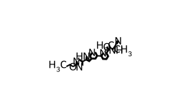 CCCOc1ncc(-c2cc3cc(-c4cccc(C(=O)NC(C)(C)C#N)n4)cnc3[nH]2)cn1